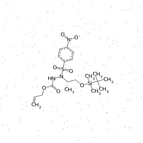 C=CCOC(=O)NN([C@@H](C)CO[Si](C)(C)C(C)(C)C)S(=O)(=O)c1ccc([N+](=O)[O-])cc1